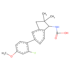 COc1ccc(-c2ccc3c(c2)CC(C)(C)C3NC(=O)O)c(F)c1